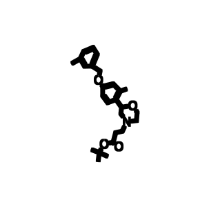 Cc1cccc(COc2ccc(C3CN(CCC(=O)OC(C)(C)C)CCO3)c(C)c2)c1